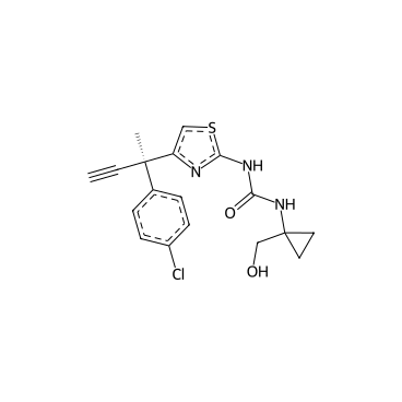 C#C[C@](C)(c1ccc(Cl)cc1)c1csc(NC(=O)NC2(CO)CC2)n1